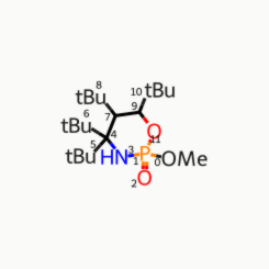 COP1(=O)NC(C(C)(C)C)(C(C)(C)C)C(C(C)(C)C)C(C(C)(C)C)O1